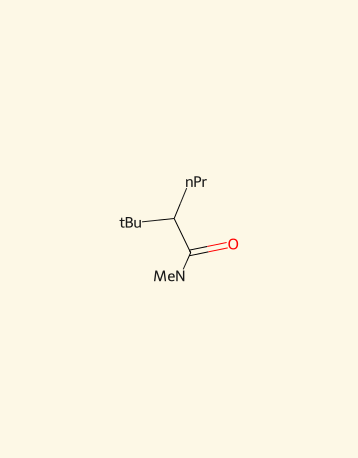 CCCC(C(=O)NC)C(C)(C)C